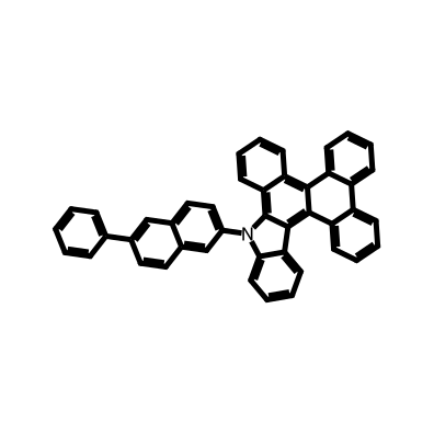 c1ccc(-c2ccc3cc(-n4c5ccccc5c5c6c7ccccc7c7ccccc7c6c6ccccc6c54)ccc3c2)cc1